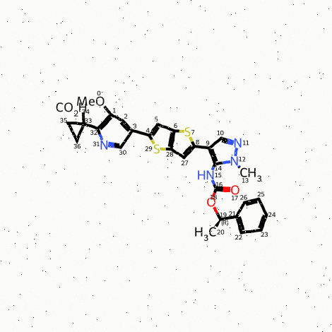 COc1cc(-c2cc3sc(-c4cnn(C)c4NC(=O)O[C@H](C)c4ccccc4)cc3s2)cnc1C1(C(=O)O)CC1